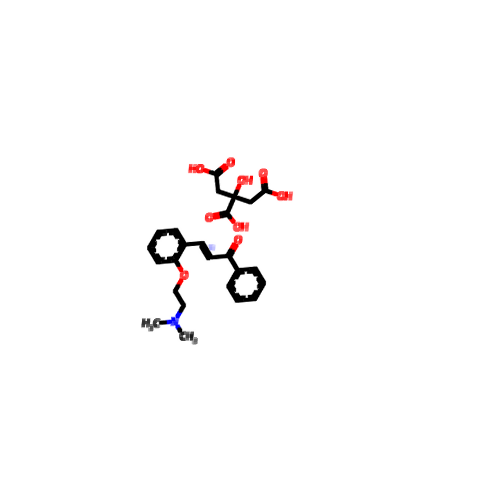 CN(C)CCOc1ccccc1/C=C/C(=O)c1ccccc1.O=C(O)CC(O)(CC(=O)O)C(=O)O